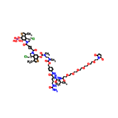 Cc1csc2c(OC(=O)N(C)CCN(C)C(=O)OCc3ccc(NC(=O)[C@H](CCCNC(N)=O)NC(=O)[C@@H](NC(=O)CCOCCOCCOCCOCCOCCOCCN4C(=O)C=CC4=O)C(C)C)cc3)cc3c(c12)[C@H](CCl)CN3C(=O)C12CC(C(=O)N3C[C@@H](CCl)c4c3cc(OP(=O)(O)O)c3scc(C)c43)(C1)C2